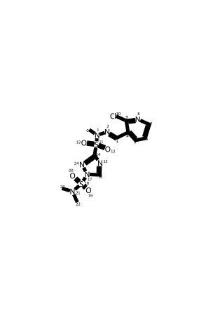 CN(/N=C/c1cccnc1Cl)S(=O)(=O)c1ncn(S(=O)(=O)N(C)C)n1